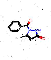 Cc1cc(=O)[nH]n1C(=O)c1ccccc1